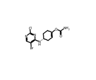 NC(=O)OC1=CC[C@H](Nc2nc(Cl)ncc2Br)CC1